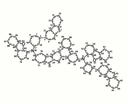 c1cc(-c2ccc3sc4ccccc4c3c2)cc(N(c2ccc3sc4cc5c6ccc(N(c7cccc(-c8ccc9sc%10ccccc%10c9c8)c7)c7cccc8c7oc7ccccc78)cc6c6ccccc6c5cc4c3c2)c2cccc3c2oc2ccccc23)c1